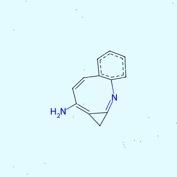 NC1=C2CC2=Nc2ccccc2C=C1